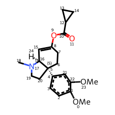 COc1ccc([C@@]23CCC(OC(=O)C4CC4)=C[C@@H]2N(C)CC3)cc1OC